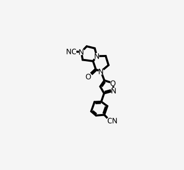 N#Cc1cccc(-c2cc(N3CCN4CCN(C#N)CC4C3=O)on2)c1